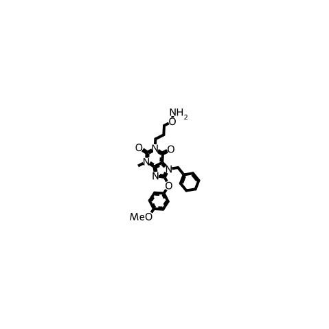 COc1ccc(Oc2nc3c(c(=O)n(CCCON)c(=O)n3C)n2CC2=CCCC=C2)cc1